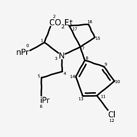 CCCC(C(=O)OCC)N(CCC(C)C)C1(c2ccc(Cl)cc2)CCC1